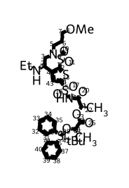 CCN[C@H]1CN(CCCOC)S(=O)(=O)c2sc(S(=O)(=O)NC(=O)[C@H](C)OC(=O)[C@H](C)O[Si](c3ccccc3)(c3ccccc3)C(C)(C)C)cc21